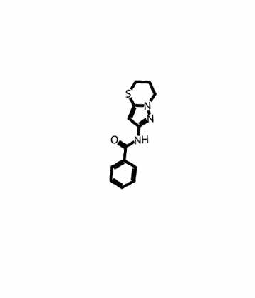 O=C(Nc1cc2n(n1)CCCS2)c1ccccc1